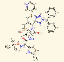 CC(=O)C(C)(C)O/N=C(\C(=O)N[C@@H]1C(=O)N2C(c3nnn(C(c4ccccc4)c4ccccc4)n3)=C(CSc3cccnc3)C[S+]([O-])[C@H]12)c1csc(C)n1